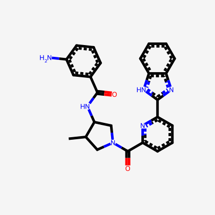 CC1CN(C(=O)c2cccc(-c3nc4ccccc4[nH]3)n2)CC1NC(=O)c1cccc(N)c1